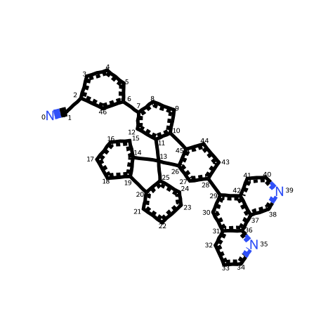 N#Cc1cccc(-c2ccc3c(c2)C2(c4ccccc4-c4ccccc42)c2cc(-c4cc5cccnc5c5cnccc45)ccc2-3)c1